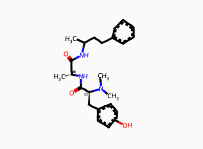 CC(CCc1ccccc1)NC(=O)[C@@H](C)NC(=O)[C@H](Cc1ccc(O)cc1)N(C)C